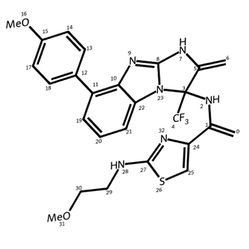 C=C(NC1(C(F)(F)F)C(=C)Nc2nc3c(-c4ccc(OC)cc4)cccc3n21)c1csc(NCCOC)n1